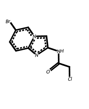 O=C(CCl)Nc1cn2cc(Br)ccc2n1